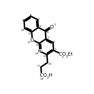 CCOC(=O)c1cc2c(=O)c3ccccc3oc2nc1CCC(=O)O